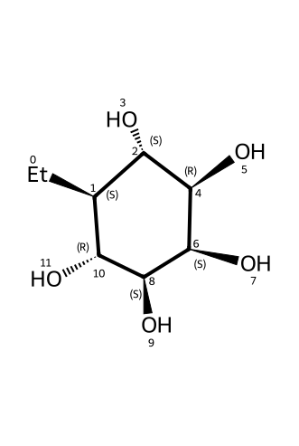 CC[C@H]1[C@H](O)[C@@H](O)[C@@H](O)[C@@H](O)[C@@H]1O